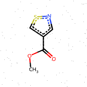 COC(=O)c1cnsc1